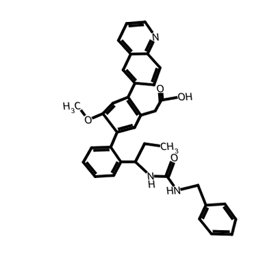 CCC(NC(=O)NCc1ccccc1)c1ccccc1-c1cc(CC(=O)O)c(-c2ccc3ncccc3c2)cc1OC